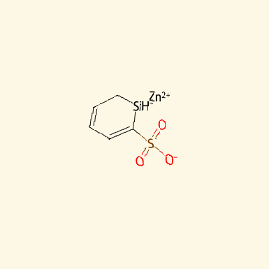 O=S(=O)([O-])C1=CC=CC[SiH-]1.[Zn+2]